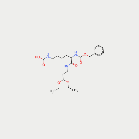 CCOC(CCNC(=O)C(CCCCNC(=O)O)NC(=O)OCc1ccccc1)OCC